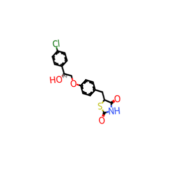 O=C1NC(=O)C(Cc2ccc(OC[C@H](O)c3ccc(Cl)cc3)cc2)S1